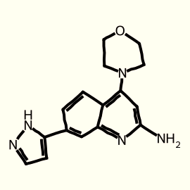 Nc1cc(N2CCOCC2)c2ccc(-c3ccn[nH]3)cc2n1